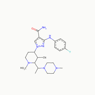 CC(C1C(C#N)C(n2cc(C(N)=O)c(Nc3ccc(F)cc3)n2)CCN1C(=O)O)N1CCN(C)CC1